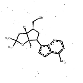 CC1(C)O[C@@H]2[C@@H](CO)OC(c3ccc4c(N)ncnn34)[C@@H]2O1